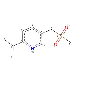 CC(C)c1ccc(CS(C)(=O)=O)cn1